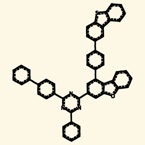 c1ccc(-c2ccc(-c3nc(-c4ccccc4)nc(-c4cc(-c5ccc(-c6ccc7sc8ccccc8c7c6)cc5)c5c(c4)oc4ccccc45)n3)cc2)cc1